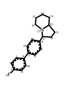 Fc1ccc(-c2ccc(C3CCC4CCCCN43)cc2)cc1